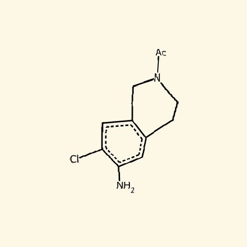 CC(=O)N1CCc2cc(N)c(Cl)cc2C1